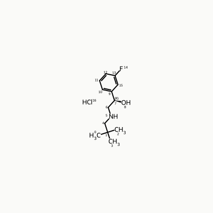 CC(C)(C)CNC[C@H](O)c1cccc(F)c1.Cl